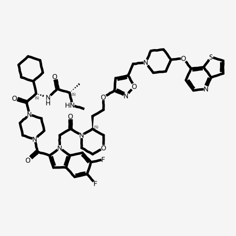 CN[C@@H](C)C(=O)N[C@H](C(=O)N1CCN(C(=O)c2cc3cc(F)c(F)cc3n2CC(=O)N2CCOC[C@@H]2CCOc2cc(CN3CCC(Oc4ccnc5ccsc45)CC3)on2)CC1)C1CCCCC1